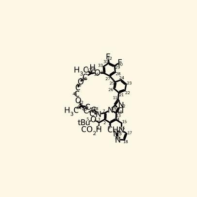 Cc1c([C@H](OC(C)(C)C)C(=O)O)c2n3c(Cl)c(nc3c1Cn1ccnn1)-c1cccc(c1)-c1cc(F)c(F)cc1O[C@@H](C)COCCOC1(C)CCN2CC1